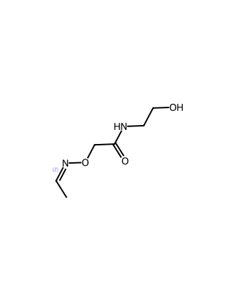 C/C=N\OCC(=O)NCCO